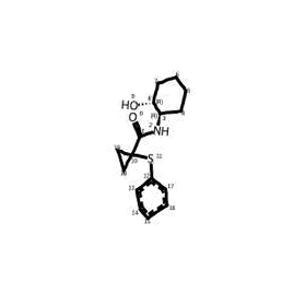 O=C(N[C@@H]1CCCC[C@H]1O)C1(Sc2ccccc2)CC1